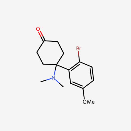 COc1ccc(Br)c(C2(N(C)C)CCC(=O)CC2)c1